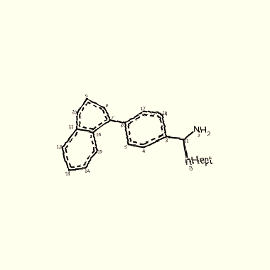 CCCCCCCC(N)c1ccc(-c2cccc3ccccc23)cc1